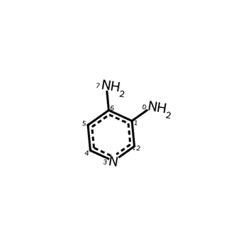 Nc1[c]nccc1N